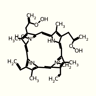 C=CC1=C(C)c2cc3[nH]c(cc4[n+]([CH2-])c(cc5[nH]c(cc1[n+]2[CH2-])c(C)c5C=C)C(C)=C4CC(=C)OO)c(C)c3CC(=C)OO